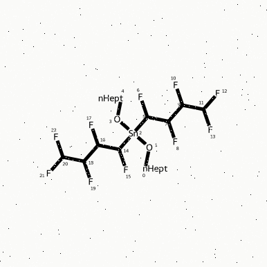 CCCCCCC[O][Sn]([O]CCCCCCC)([CH](F)C(F)C(F)C(F)F)[CH](F)C(F)C(F)C(F)F